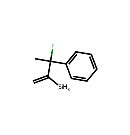 C=C([SiH3])C(C)(F)c1ccccc1